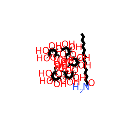 CCCCCCCCCCCCCCCC(N)=O.OC[C@H]1O[C@H](O[C@H]2[C@H](O)[C@@H](O)[C@@H](O[C@H]3[C@H](O)[C@@H](O)[C@@H](O[C@H]4[C@H](O)[C@@H](O)[C@@H](O[C@H]5[C@H](O)[C@@H](O)[C@@H](O)O[C@@H]5CO)O[C@@H]4CO)O[C@@H]3CO)O[C@@H]2CO)[C@H](O)[C@@H](O)[C@@H]1O